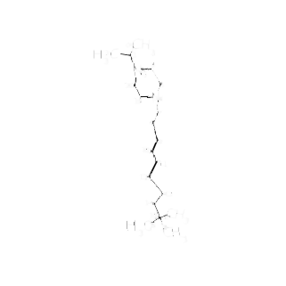 CC(C)N1CCN(CCCCCCCCC(C)(C)C)CC1